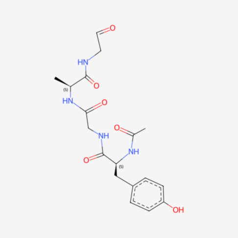 CC(=O)N[C@@H](Cc1ccc(O)cc1)C(=O)NCC(=O)N[C@@H](C)C(=O)NCC=O